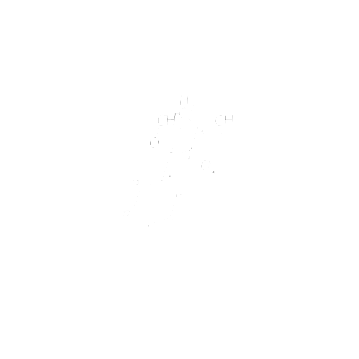 COC(C(=O)C(C)C)C1CCCCC1